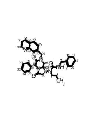 CCCN(C(=O)NCc1ccccc1)N1CC(=O)N2[C@@H](c3ccccc3)C(=O)N(Cc3ccc4cccnc4c3)C[C@@H]21